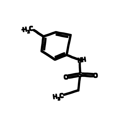 [CH2]c1ccc(NS(=O)(=O)CC)cc1